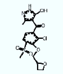 Cc1n[nH]c(O)c1C(=O)c1ccc(S(C)(=O)=O)c(OCC2CCO2)c1Cl